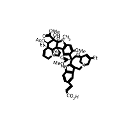 CCC1=C[C@H]2CN(C1)Cc1c([nH]c3ccc(/C=C/C(=O)O)cc13)[C@@](C(=O)OC)(c1cc3c(cc1OC)N(C)[C@H]1[C@@](O)(C(=O)OC)[C@H](OC(C)=O)[C@]4(CC)C=CCN5CC[C@]31[C@@H]54)C2